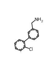 NCc1cccc(-c2ccc[c]c2Cl)c1